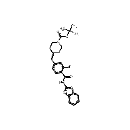 CC(C)(C)OC(=O)N1CCC(=Cc2ccc(C(=O)Nc3nc4ccccc4s3)c(F)c2)CC1